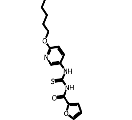 CCCCCOc1ccc(NC(=S)NC(=O)c2ccco2)cn1